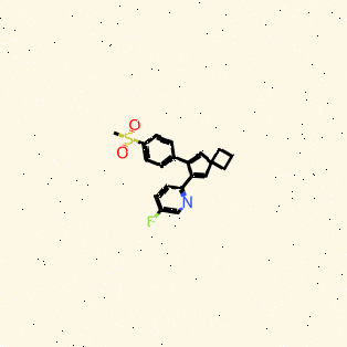 CS(=O)(=O)c1ccc(C2=CC3(C=C2c2ccc(F)cn2)CCC3)cc1